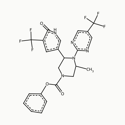 CC1CN(C(=O)Oc2ccccc2)CC(c2c[nH]c(=O)c(C(F)(F)F)c2)N1c1ncc(C(F)(F)F)cn1